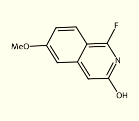 COc1ccc2c(F)nc(O)cc2c1